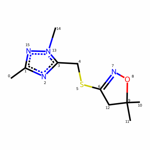 Cc1nc(CSC2=NOC(C)(C)C2)n(C)n1